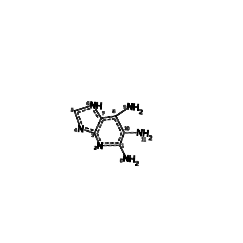 Nc1nc2nc[nH]c2c(N)c1N